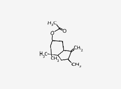 C=C1C(C)CC2C1CC(OC(C)=O)CC2(C)C